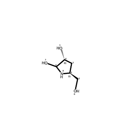 OC[C@@H]1C[C@@H](O)C(O)N1